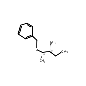 COC[C@@H](N)[C@H](C)OCc1ccccc1